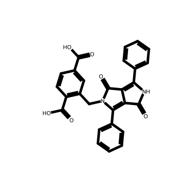 O=C1NC(c2ccccc2)=C2C(=O)N(Cc3cc(C(=O)O)ccc3C(=O)O)C(c3ccccc3)=C12